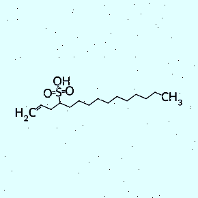 C=CCC(CCCCCCCCCCC)S(=O)(=O)O